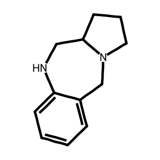 c1ccc2c(c1)CN1CCCC1CN2